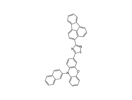 c1ccc2c(c1)Oc1cc(-c3nc(-c4ccc5c6c(cccc46)-c4ccccc4-5)ns3)ccc1N2c1ccc2ccccc2c1